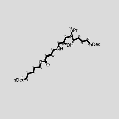 CCCCCCCCCCCCCCCOC(=O)/C=C/CNCC(O)CN(CCC)CCCCCCCCCCCCCC